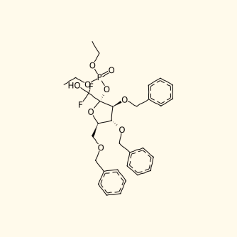 CCOP(=O)(OCC)O[C@@]1(C(O)(F)F)O[C@H](COCc2ccccc2)[C@@H](OCc2ccccc2)[C@@H]1OCc1ccccc1